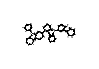 c1ccc(-n2c3ccccc3c3ccc(-c4cccc5c4c4ccccc4n5-c4ccc5oc6ccccc6c5c4)cc32)cc1